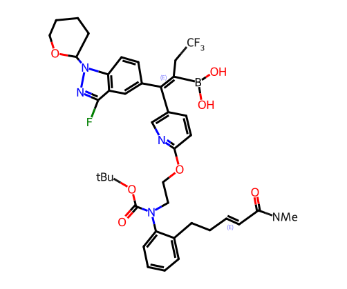 CNC(=O)/C=C/CCc1ccccc1N(CCOc1ccc(/C(=C(/CC(F)(F)F)B(O)O)c2ccc3c(c2)c(F)nn3C2CCCCO2)cn1)C(=O)OC(C)(C)C